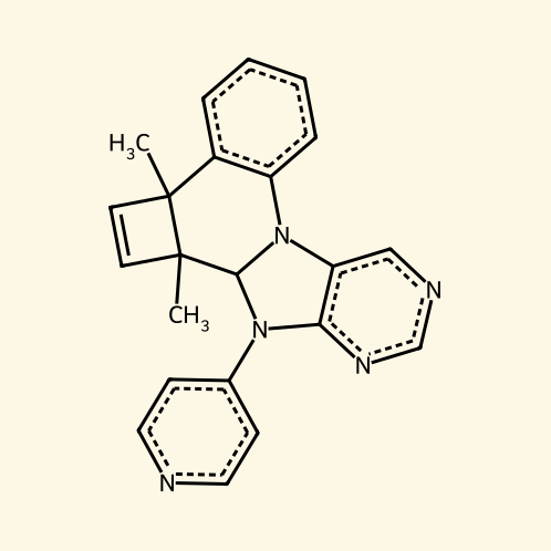 CC12C=CC1(C)C1N(c3ccccc32)c2cncnc2N1c1ccncc1